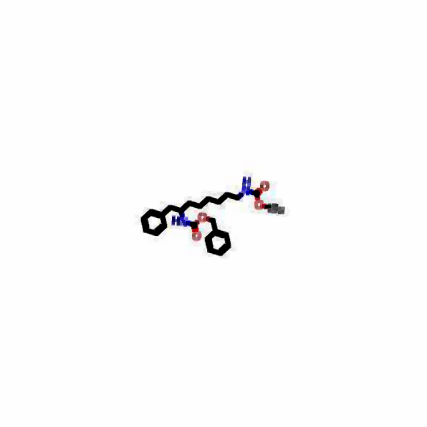 CC(C)(C)OC(=O)NCCCCCCC(Cc1ccccc1)NC(=O)OCc1ccccc1